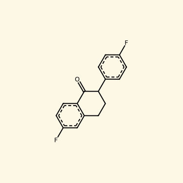 O=C1c2ccc(F)cc2CCC1c1ccc(F)cc1